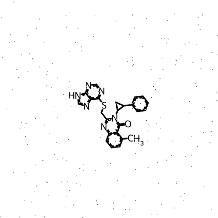 Cc1cccc2nc(CSc3ncnc4[nH]cnc34)n(C3CC3c3ccccc3)c(=O)c12